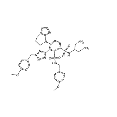 COc1ccc(CNS(=O)(=O)c2c(S(=O)(=O)NC(CN)CN)ccc(N3CCCn4ccnc43)c2-c2nnn(Cc3ccc(OC)cc3)n2)cc1